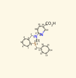 CCN(Cc1ccccc1SCc1ccccc1)c1ccc(C(=O)O)cn1